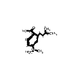 CC(C)CCc1cc(N(C)C)ccc1C(=O)O